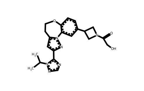 CC(C)n1ncnc1-c1cc2n(n1)-c1cc(C3CN(C(=O)CO)C3)ccc1OCC2